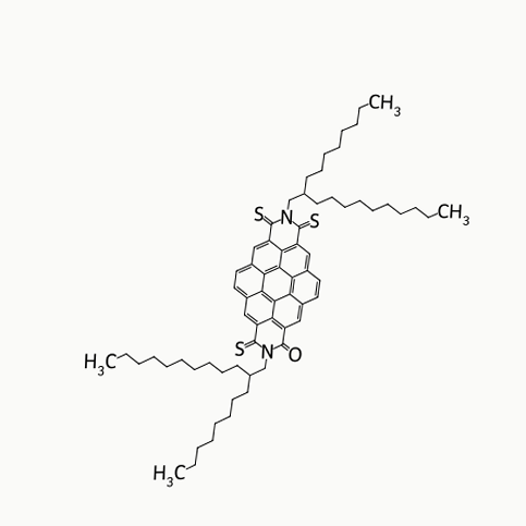 CCCCCCCCCCC(CCCCCCCC)Cn1c(=O)c2cc3ccc4cc5c(=S)n(CC(CCCCCCCC)CCCCCCCCCC)c(=S)c6cc7ccc8cc(c1=S)c2c1c3c4c(c56)c7c81